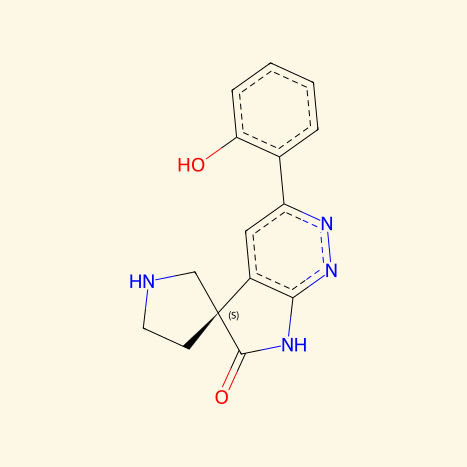 O=C1Nc2nnc(-c3ccccc3O)cc2[C@]12CCNC2